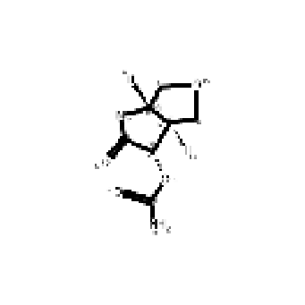 NC(=O)O[C@@H]1C(=O)N[C@@H]2COC[C@@H]12